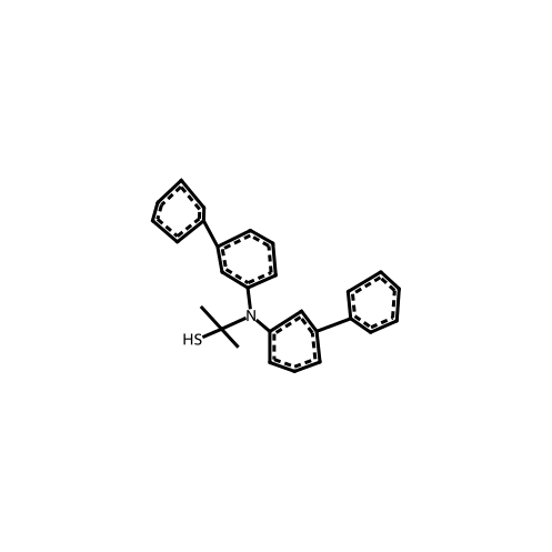 CC(C)(S)N(c1cccc(-c2ccccc2)c1)c1cccc(-c2ccccc2)c1